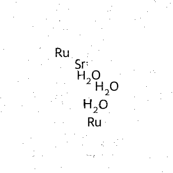 O.O.O.[Ru].[Ru].[Sr]